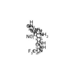 N#CCc1c(-c2ccc(NC(=O)Nc3cc(C(F)(F)F)ccn3)cc2)c2c(N)ncnn2c1CN1CCNC(=O)C1